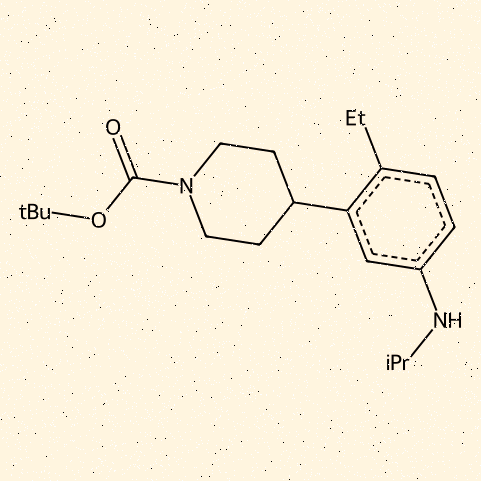 CCc1ccc(NC(C)C)cc1C1CCN(C(=O)OC(C)(C)C)CC1